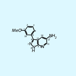 COc1cccc(-c2n[nH]c3ncc(N)cc23)c1